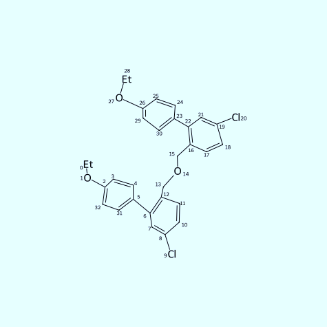 CCOc1ccc(-c2cc(Cl)ccc2COCc2ccc(Cl)cc2-c2ccc(OCC)cc2)cc1